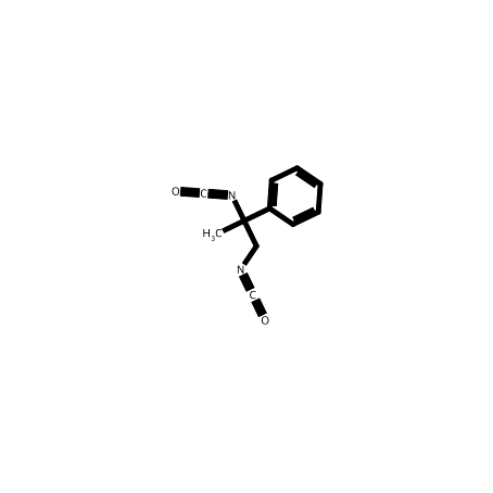 CC(CN=C=O)(N=C=O)c1ccccc1